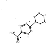 O=C(O)c1ncc(C2CCCCC2)cn1